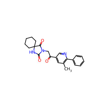 Cc1cc(C(=O)CN2C(=O)NC3(CCCCC3)C2=O)cnc1-c1ccccc1